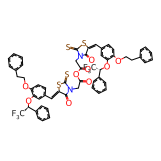 O=C(CN1C(=O)C(=Cc2ccc(OCCc3ccccc3)c(O[C@H](c3ccccc3)C(F)(F)F)c2)SC1=S)OC(=O)CN1C(=O)C(=Cc2ccc(OCCc3ccccc3)c(O[C@@H](c3ccccc3)C(F)(F)F)c2)SC1=S